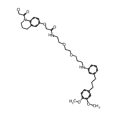 COc1ccc(CC[CH]c2cccc(NCCCOCCOCCNC(=O)COc3ccc4c(c3)CCCN4C(=O)CCl)c2)cc1OC